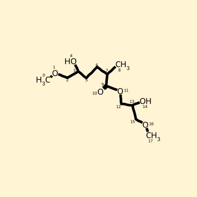 COCC(O)CCC(C)C(=O)OCC(O)COC